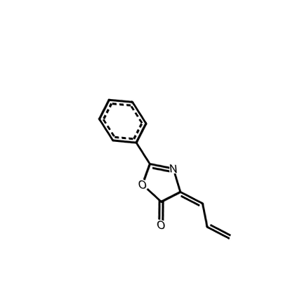 C=CC=C1N=C(c2ccccc2)OC1=O